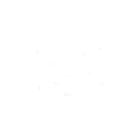 OCc1c(OCF)c(OCF)cc(OCF)c1OCF